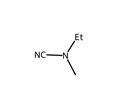 [CH2]CN(C)C#N